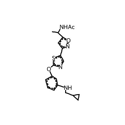 CC(=O)NC(C)c1cc(-c2cnc(Oc3cccc(NCC4CC4)c3)s2)no1